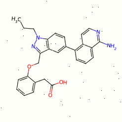 CCCn1nc(COc2ccccc2CC(=O)O)c2cc(-c3cccc4c(N)nccc34)ccc21